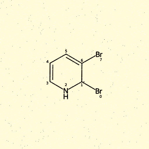 Br[C]1NC=CC=C1Br